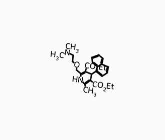 CCOC(=O)C1=C(C)NC(COCCN(C)C)=C(C(=O)OCC)C1c1cccc2ccccc12